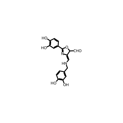 O=CC1OC(c2ccc(O)c(O)c2)=NC1=CNCc1ccc(O)c(O)c1